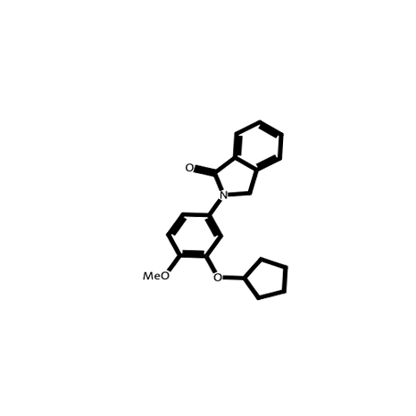 COc1ccc(N2Cc3ccccc3C2=O)cc1OC1CCCC1